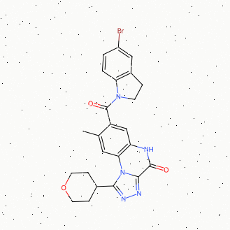 Cc1cc2c(cc1C(=O)N1CCc3cc(Br)ccc31)[nH]c(=O)c1nnc(C3CCOCC3)n12